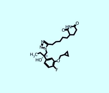 CC[C@@](O)(Cn1nncc1CCCCCC1CCC(=O)NC1=O)c1ccc(F)c(OCC2CC2)c1